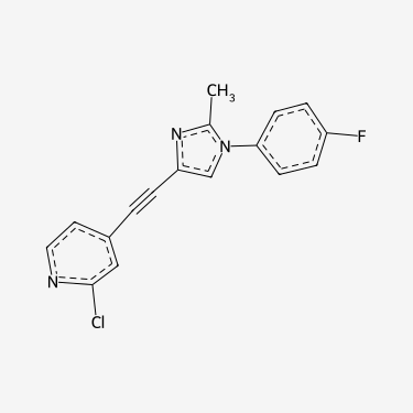 Cc1nc(C#Cc2ccnc(Cl)c2)cn1-c1ccc(F)cc1